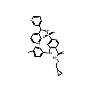 O=C(NOCC1CC1)c1ccc(S(=O)(=O)NC(c2cccnc2)c2cccnc2)cc1Nc1ccc(I)cc1